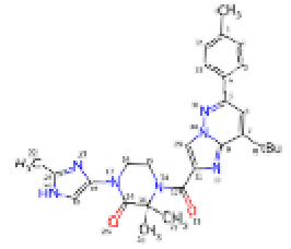 Cc1ccc(-c2cc(C(C)(C)C)c3nc(C(=O)N4CCN(c5c[nH]c(C)n5)C(=O)C4(C)C)cn3n2)cc1